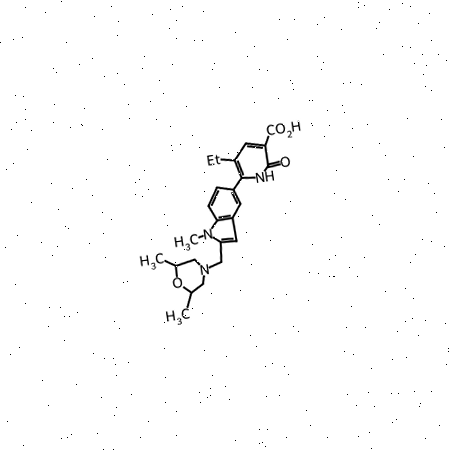 CCc1cc(C(=O)O)c(=O)[nH]c1-c1ccc2c(c1)cc(CN1CC(C)OC(C)C1)n2C